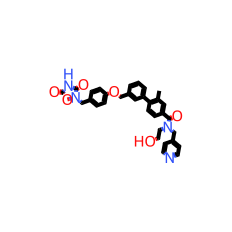 Cc1cc(C(=O)N(CCO)Cc2ccncc2)ccc1-c1cccc(COc2ccc(Cn3oc(=O)[nH]c3=O)cc2)c1